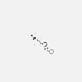 CC(C)(C)OC(=O)NCC[C@@H](O)c1cccc(S(=O)(=O)CC2CCCCC2)n1